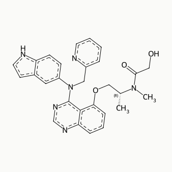 C[C@H](COc1cccc2ncnc(N(Cc3ccccn3)c3ccc4[nH]ccc4c3)c12)N(C)C(=O)CO